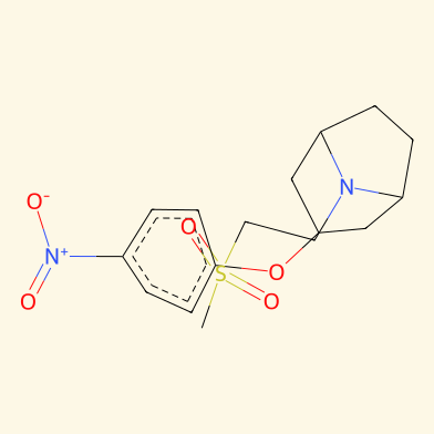 CS(=O)(=O)CCN1C2CCC1CC(Oc1ccc([N+](=O)[O-])cc1)C2